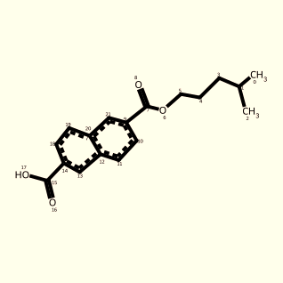 CC(C)CCCOC(=O)c1ccc2cc(C(=O)O)ccc2c1